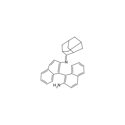 Nc1ccc2ccccc2c1-c1c(N=C2C3CC4CC(C3)CC2C4)ccc2ccccc12